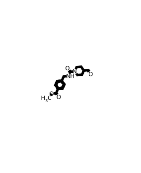 COC(=O)c1ccc(CNC(=O)N2CCC(C=O)CC2)cc1